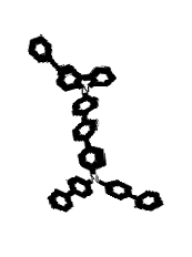 c1ccc(-c2ccc(N(c3ccc(-c4ccccc4)cc3)c3ccc(-c4ccc(-c5ccc(-n6c7ccccc7c7cc(-c8ccccc8)ccc76)cc5)cc4)cc3)cc2)cc1